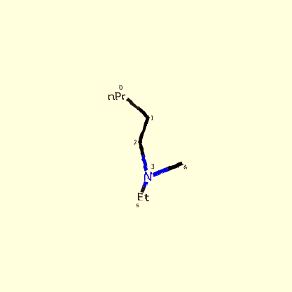 CCC[CH]CN(C)CC